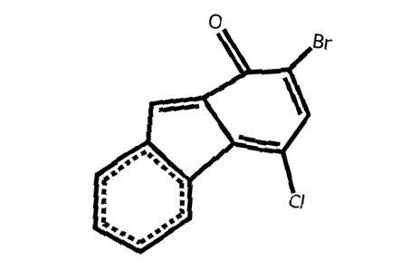 O=C1C(Br)=CC(Cl)=C2C1=Cc1ccccc12